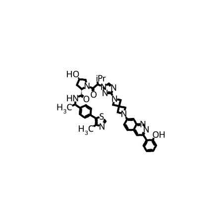 Cc1ncsc1-c1ccc(C(C)NC(=O)[C@@H]2C[C@@H](O)CN2C(=O)C(C(C)C)n2cnc(N3CC4(CN(c5ccc6cc(-c7ccccc7O)nnc6c5)C4)C3)n2)cc1